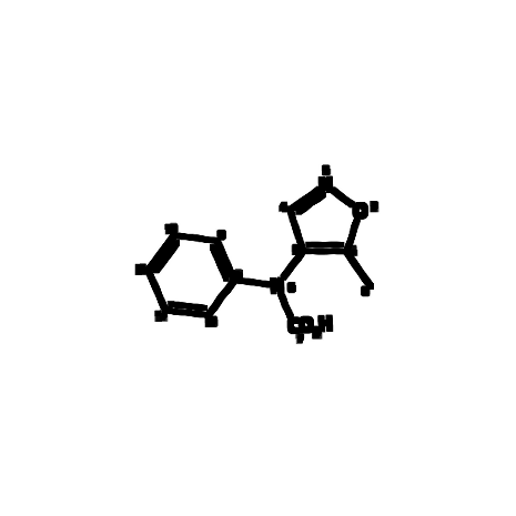 Cc1oncc1N(C(=O)O)c1ccccc1